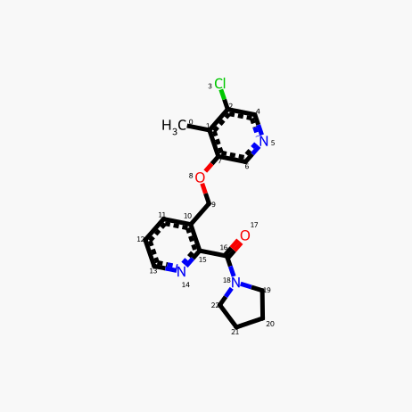 Cc1c(Cl)cncc1OCc1cccnc1C(=O)N1CCCC1